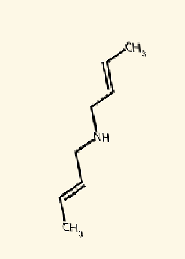 C/C=C/CNC/C=C/C